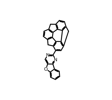 c1ccc2c(c1)oc1cnc(-c3cc4c5c6c(ccc7c6c6c(ccc8c6c5c3C8)C7)C4)nc12